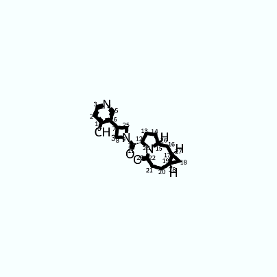 Cc1ccncc1C1CN(C(=O)[C@@H]2CC[C@@H]3C[C@H]4C[C@@H]4CCC(=O)N32)C1